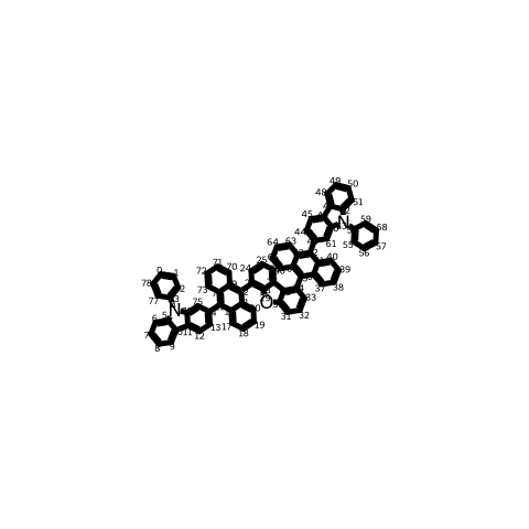 c1ccc(-n2c3ccccc3c3ccc(-c4c5ccccc5c(-c5cccc6c5oc5cccc(-c7c8ccccc8c(-c8ccc9c%10ccccc%10n(-c%10ccccc%10)c9c8)c8ccccc78)c56)c5ccccc45)cc32)cc1